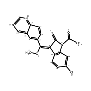 CO/C(=C1/C(=O)N(C(C)=O)c2cc(Cl)ccc21)c1ccc2ncncc2c1